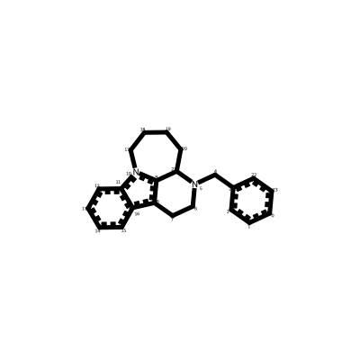 c1ccc(CN2CCc3c4n(c5ccccc35)CCCCC42)cc1